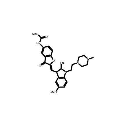 CNC(=O)Nc1ccc2c(c1)C(=O)/C(=C/C1c3cc(OC)ccc3N(CCN3CCN(C)CC3)C1C#N)O2